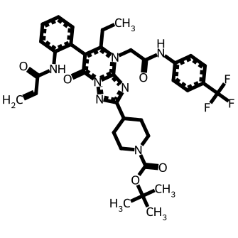 C=CC(=O)Nc1ccccc1-c1c(CC)n(CC(=O)Nc2ccc(C(F)(F)F)cc2)c2nc(C3CCN(C(=O)OC(C)(C)C)CC3)nn2c1=O